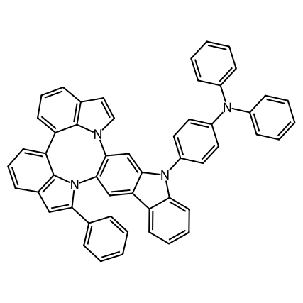 c1ccc(-c2cc3cccc4c5cccc6ccn(c7cc8c(cc7n2c34)c2ccccc2n8-c2ccc(N(c3ccccc3)c3ccccc3)cc2)c65)cc1